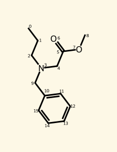 CCCN(CC(=O)OC)Cc1ccccc1